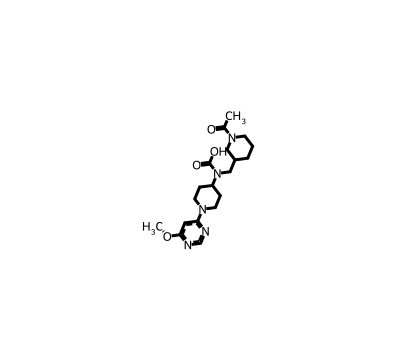 COc1cc(N2CCC(N(CC3CCCN(C(C)=O)C3)C(=O)O)CC2)ncn1